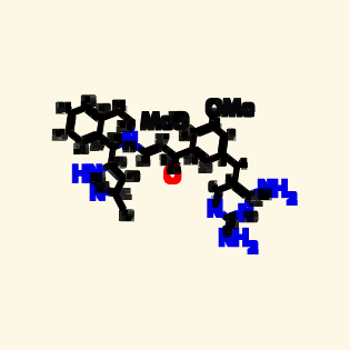 COc1cc(Cc2cnc(N)nc2N)cc(C(=O)/C=C/N2CCc3ccccc3C2c2cc(C)n[nH]2)c1OC